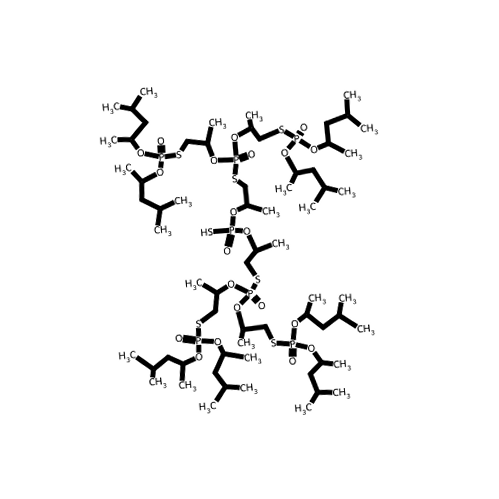 CC(C)CC(C)OP(=O)(OC(C)CC(C)C)SCC(C)OP(=O)(OC(C)CSP(=O)(OC(C)CC(C)C)OC(C)CC(C)C)SCC(C)OP(=O)(S)OC(C)CSP(=O)(OC(C)CSP(=O)(OC(C)CC(C)C)OC(C)CC(C)C)OC(C)CSP(=O)(OC(C)CC(C)C)OC(C)CC(C)C